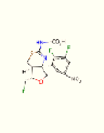 O=C(O)NC1=N[C@@]2(c3cc([N+](=O)[O-])cc(F)c3F)CO[C@H](CF)[C@H]2CS1